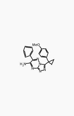 COc1ccc(C2(c3nnc4nc(N)c(-c5ccccc5)nn34)CC2)cc1